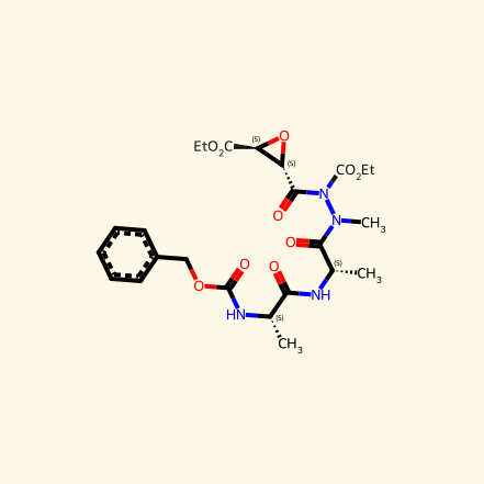 CCOC(=O)[C@H]1O[C@@H]1C(=O)N(C(=O)OCC)N(C)C(=O)[C@H](C)NC(=O)[C@H](C)NC(=O)OCc1ccccc1